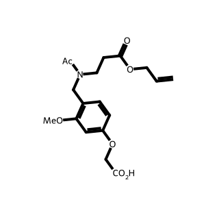 C=CCOC(=O)CCN(Cc1ccc(OCC(=O)O)cc1OC)C(C)=O